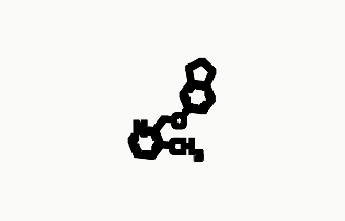 Cc1cccnc1COc1ccc2c(c1)CCC2